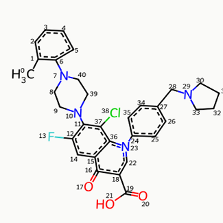 Cc1ccccc1N1CCN(c2c(F)cc3c(=O)c(C(=O)O)cn(-c4ccc(CN5CCCC5)cc4)c3c2Cl)CC1